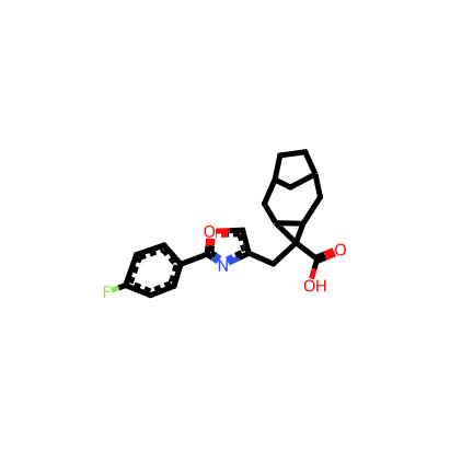 O=C(O)C1(Cc2coc(-c3ccc(F)cc3)n2)C2CC3CCC(C3)CC21